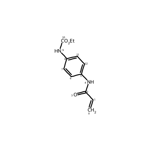 C=CC(=O)Nc1ccc(NC(=O)OCC)cc1